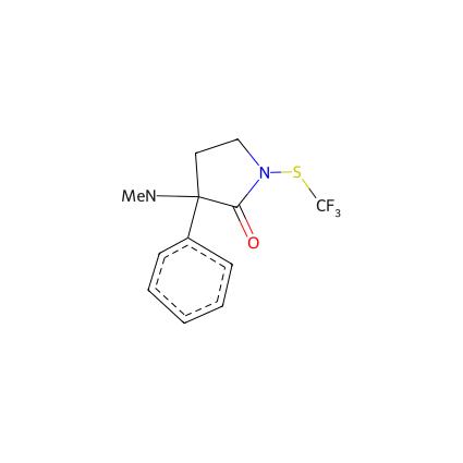 CNC1(c2ccccc2)CCN(SC(F)(F)F)C1=O